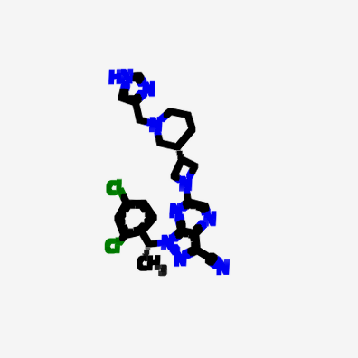 C[C@H](c1ccc(Cl)cc1Cl)n1nc(C#N)c2ncc(N3CC([C@H]4CCCN(Cc5c[nH]cn5)C4)C3)nc21